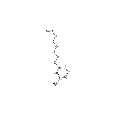 COCCOCCOc1cccc(N)c1